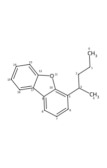 CCCC(C)c1cccc2c1oc1ccccc12